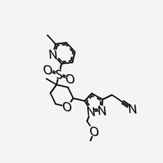 COCn1nc(CC#N)cc1C1CC(C)(S(=O)(=O)c2cccc(C)n2)CCO1